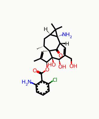 CC1=C[C@]23C(=O)[C@@H](C=C(CO)[C@@H](O)[C@]2(O)[C@H]1OC(=O)c1c(N)cccc1Cl)[C@@]1(N)[C@@H](C[C@H]3C)C1(C)C